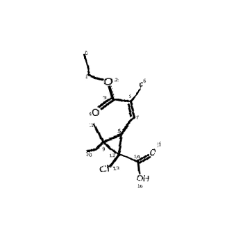 CCOC(=O)/C(F)=C\C1C(C)(C)C1(Cl)C(=O)O